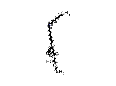 C=CCOCC(O)COC(=O)C(CC(=O)OCCCCCCCC/C=C\CCCCCCCC)S(=O)(=O)O